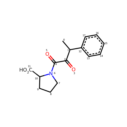 CC(C(=O)C(=O)N1CCCC1C(=O)O)c1ccccc1